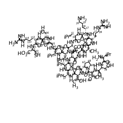 CC(C)C[C@H](NC(=O)CNC(=O)[C@H](CC(C)C)NC(=O)[C@H](CCCCN)NC(=O)[C@H](CCCNC(=N)N)NC(=O)[C@H](C)NC(=O)[C@@H](NC(=O)[C@H](CCC(=O)O)NC(=O)[C@@H](NC(=O)[C@H](CC(C)C)NC(=O)[C@@H](NC(=O)[C@@H]1CCCN1C(=O)[C@@H](NC(=O)[C@H](CO)NC(=O)[C@@H](N)C(C)C)[C@@H](C)O)[C@@H](C)O)C(C)C)C(C)C)C(=O)N[C@H](C(=O)NCC(=O)N[C@@H](CO)C(=O)N[C@@H](CCCNC(=N)N)C(=O)N[C@@H](CS)C(=O)O)C(C)C